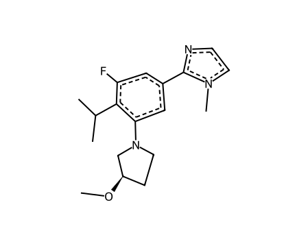 CO[C@@H]1CCN(c2cc(-c3nccn3C)cc(F)c2C(C)C)C1